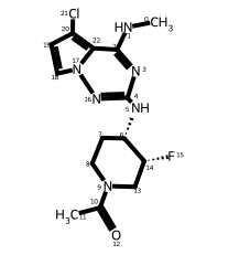 CNc1nc(N[C@H]2CCN(C(C)=O)C[C@H]2F)nn2ccc(Cl)c12